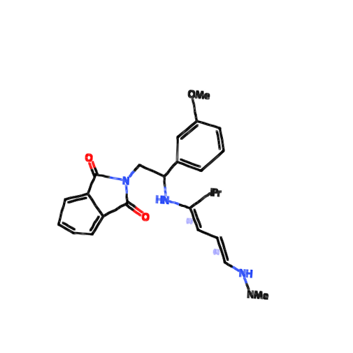 CNN/C=C/C=C(/NC(CN1C(=O)c2ccccc2C1=O)c1cccc(OC)c1)C(C)C